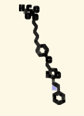 CS(=O)(=O)OCCCCCc1ccc(OCc2coc(/C=C/c3ccccc3)n2)cc1